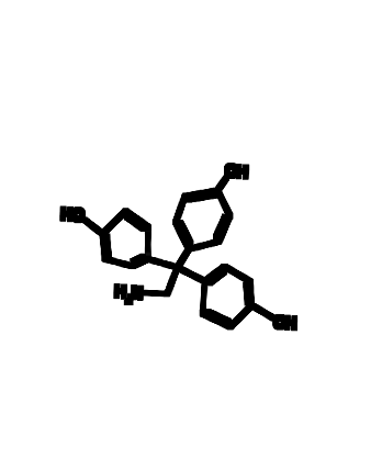 NCC(c1ccc(O)cc1)(c1ccc(O)cc1)c1ccc(O)cc1